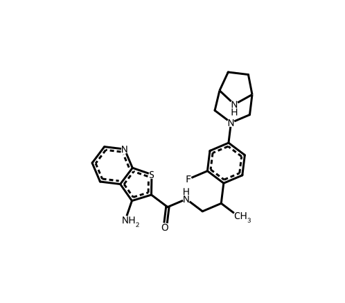 CC(CNC(=O)c1sc2ncccc2c1N)c1ccc(N2CC3CCC(C2)N3)cc1F